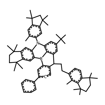 Cc1cc2c(cc1N1c3cc4c(cc3B3c5cc(-c6ccccc6)ccc5C(CCc5ccc6c(c5C)C(C)(C)CCC6(C)C)c5cc(C(C)(C)C)cc1c53)C(C)(C)CCC4(C)C)C(C)(C)CC2(C)C